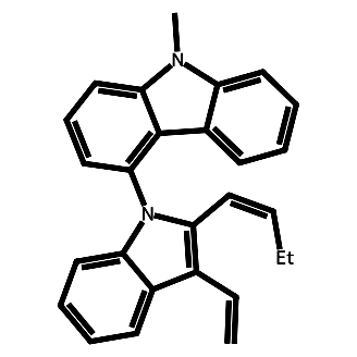 C=Cc1c(/C=C\CC)n(-c2cccc3c2c2ccccc2n3C)c2ccccc12